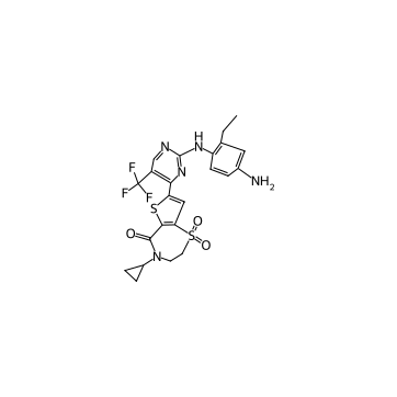 CCc1cc(N)ccc1Nc1ncc(C(F)(F)F)c(-c2cc3c(s2)C(=O)N(C2CC2)CCS3(=O)=O)n1